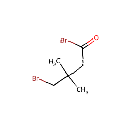 CC(C)(CBr)CC(=O)Br